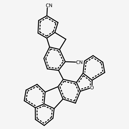 N#Cc1ccc2c(c1)Cc1c-2ccc(-c2c3c(cc4oc5ccccc5c24)-c2cccc4cccc-3c24)c1C#N